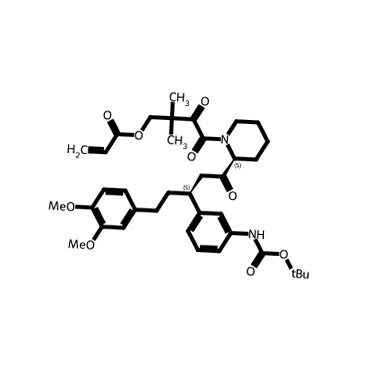 C=CC(=O)OCC(C)(C)C(=O)C(=O)N1CCCC[C@H]1C(=O)C[C@H](CCc1ccc(OC)c(OC)c1)c1cccc(NC(=O)OC(C)(C)C)c1